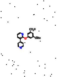 COc1cc(Oc2ncccc2-c2ccncc2)cc(C(=O)O)c1